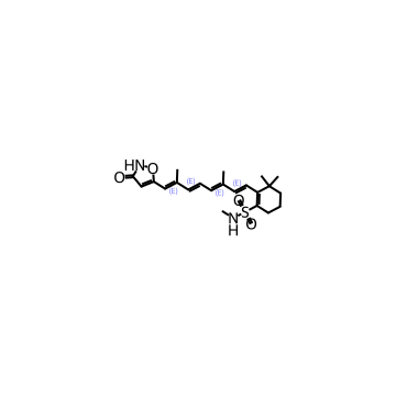 CNS(=O)(=O)C1=C(/C=C/C(C)=C/C=C/C(C)=C/c2cc(=O)[nH]o2)C(C)(C)CCC1